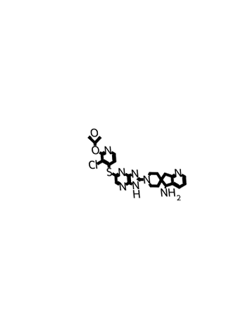 N[C@@H]1c2cccnc2CC12CCN(c1nc3nc(Sc4ccnc(OC5COC5)c4Cl)cnc3[nH]1)CC2